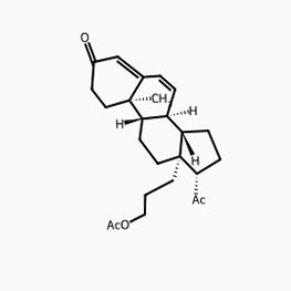 CC(=O)OCCC[C@]12CC[C@H]3[C@@H](C=CC4=CC(=O)CC[C@@]43C)[C@@H]1CC[C@@H]2C(C)=O